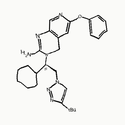 CC(C)(C)c1cn(C[C@@H](C2CCCCC2)N2Cc3cc(Oc4ccccc4)ncc3N=C2N)nn1